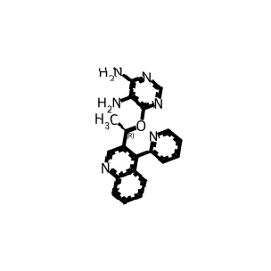 C[C@@H](Oc1ncnc(N)c1N)c1cnc2ccccc2c1-c1ccccn1